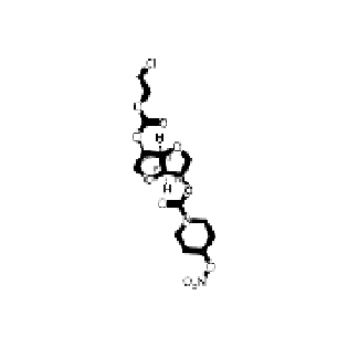 O=C(OCCCl)O[C@@H]1CO[C@H]2[C@@H]1OC[C@H]2OC(=O)N1CCC(O[N+](=O)[O-])CC1